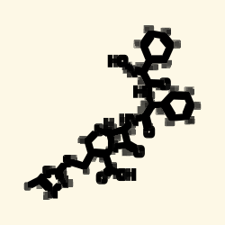 Cc1nnc(SCC2=C(C(=O)O)N3C(=O)C(NC(=O)[C@@H](NC(=O)C(=NO)c4ccccc4)c4ccccc4)[C@@H]3SC2)s1